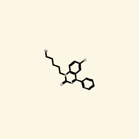 O=c1nc(-c2ccccc2)c2cc(Cl)ccc2n1CCCCCBr